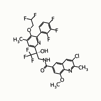 COc1cc(C(=O)NC[C@](O)(c2cc(C)c(OCC(F)F)c(-c3ccc(F)c(F)c3F)n2)C(F)(F)F)cc2cc(Cl)c(C)nc12